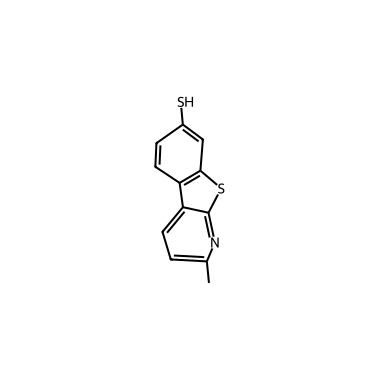 Cc1ccc2c(n1)sc1cc(S)ccc12